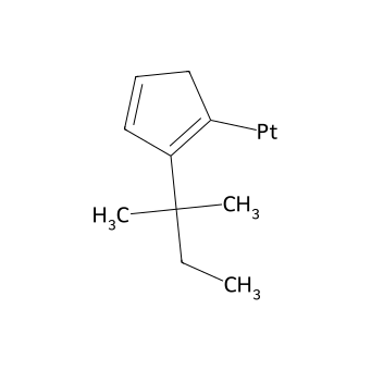 CCC(C)(C)C1=[C]([Pt])CC=C1